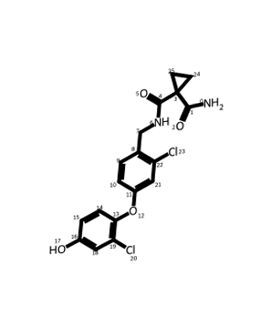 NC(=O)C1(C(=O)NCc2ccc(Oc3ccc(O)cc3Cl)cc2Cl)CC1